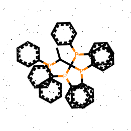 CC(P(c1ccccc1)c1ccccc1)C(P(c1ccccc1)c1ccccc1)(P(c1ccccc1)c1ccccc1)P(c1ccccc1)c1ccccc1